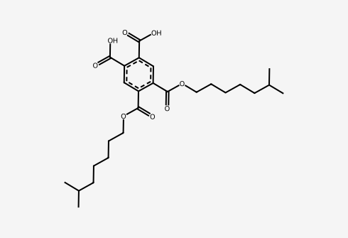 CC(C)CCCCCOC(=O)c1cc(C(=O)O)c(C(=O)O)cc1C(=O)OCCCCCC(C)C